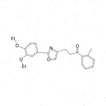 CCOc1ccc(-c2nc(CCC(=O)c3ccccc3C)co2)cc1OCC